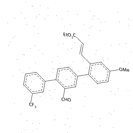 CCOC(=O)/C=C/c1cc(OC)ccc1-c1ccc(-c2cccc(C(F)(F)F)c2)c(C=O)c1